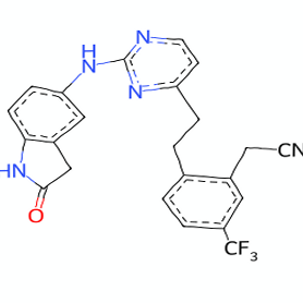 N#CCc1cc(C(F)(F)F)ccc1CCc1ccnc(Nc2ccc3c(c2)CC(=O)N3)n1